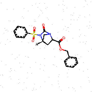 O=C(OCc1ccccc1)C1C[C@H]2CN1C(=O)N2S(=O)(=O)c1ccccc1